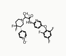 CC(C(=O)Nc1ccc(Oc2c(F)cc(F)cc2F)cn1)N1CCC(F)(F)[C@@H](c2cc[n+]([O-])cc2)C1